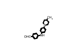 CC1CCN(c2ccc(Nc3ccc(C=O)cc3)cc2)CC1